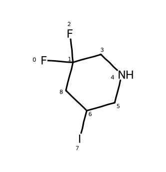 FC1(F)CNCC(I)C1